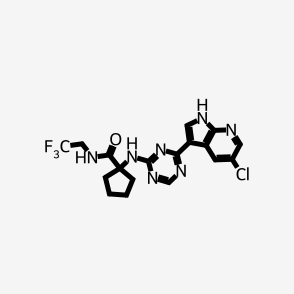 O=C(NCC(F)(F)F)C1(Nc2ncnc(-c3c[nH]c4ncc(Cl)cc34)n2)CCCC1